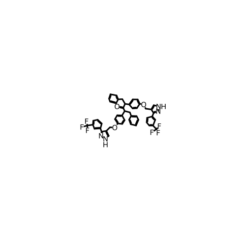 O=C(C(Cc1ccccc1)c1ccc(OCc2c[nH]nc2-c2cccc(C(F)(F)F)c2)cc1)C(Cc1ccccc1)c1ccc(OCc2c[nH]nc2-c2cccc(C(F)(F)F)c2)cc1